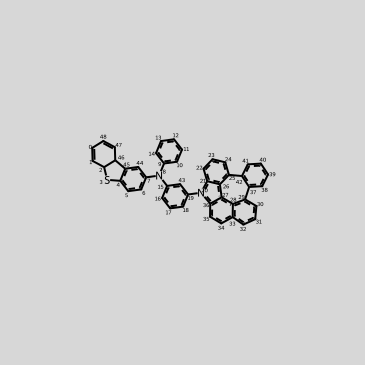 C1=CC2Sc3ccc(N(c4ccccc4)c4cccc(-n5c6cccc7c6c6c8c(cccc8ccc65)-c5ccccc5-7)c4)cc3C2C=C1